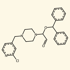 O=CC(OC(c1ccccc1)c1ccccc1)N1CCN(Cc2ccnc(Cl)c2)CC1